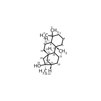 CC1(C)CCC[C@@]2(C)[C@H]1CC[C@]13C[C@H](CC[C@@H]12)[C@@](C)(O)C3